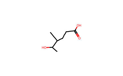 CC(O)C(C)CCC(=O)O